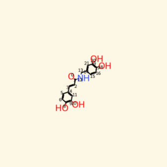 O=C(C=Cc1ccc(O)c(O)c1)NCc1ccc(O)c(O)c1